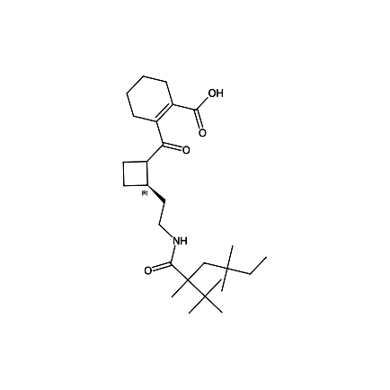 CCC(C)(C)CC(C)(C(=O)NCC[C@H]1CCC1C(=O)C1=C(C(=O)O)CCCC1)C(C)(C)C